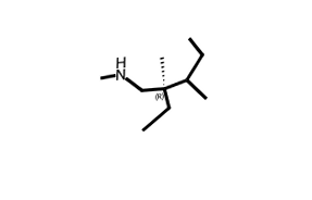 CCC(C)[C@@](C)(CC)CNC